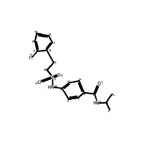 CC(C)NC(=O)c1ccc(NS(=O)(=O)CCc2ccccc2Cl)cc1